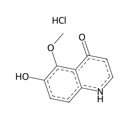 COc1c(O)ccc2[nH]ccc(=O)c12.Cl